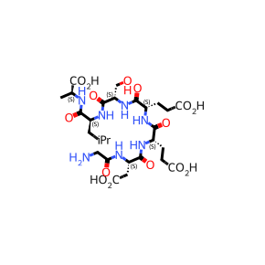 CC(C)C[C@H](NC(=O)[C@H](CO)NC(=O)[C@H](CCC(=O)O)NC(=O)[C@H](CCC(=O)O)NC(=O)[C@H](CC(=O)O)NC(=O)CN)C(=O)N[C@@H](C)C(=O)O